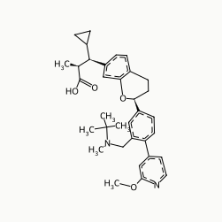 COc1cc(-c2ccc([C@@H]3CCc4ccc([C@H](C5CC5)[C@H](C)C(=O)O)cc4O3)cc2CN(C)C(C)(C)C)ccn1